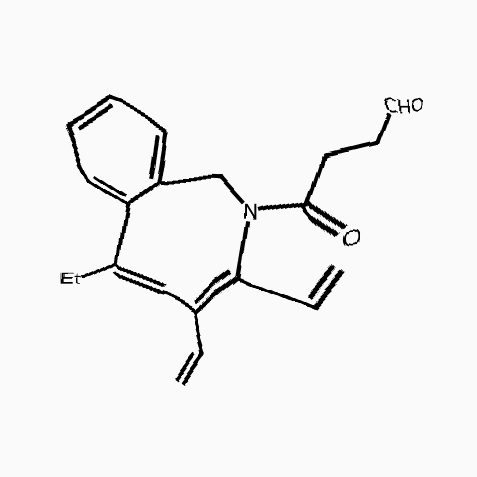 C=CC1=C(\C=C)N(C(=O)CCC=O)Cc2ccccc2/C(CC)=C\1